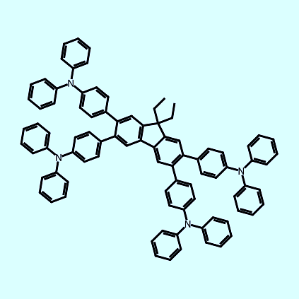 CCC1(CC)c2cc(-c3ccc(N(c4ccccc4)c4ccccc4)cc3)c(-c3ccc(N(c4ccccc4)c4ccccc4)cc3)cc2-c2cc(-c3ccc(N(c4ccccc4)c4ccccc4)cc3)c(-c3ccc(N(c4ccccc4)c4ccccc4)cc3)cc21